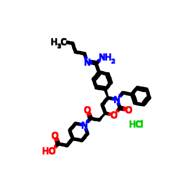 CCCCN=C(N)c1ccc([C@@H]2C[C@H](CC(=O)N3CCC(CC(=O)O)CC3)OC(=O)N2Cc2ccccc2)cc1.Cl